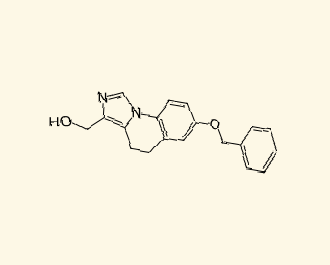 OCc1ncn2c1CCc1cc(OCc3ccccc3)ccc1-2